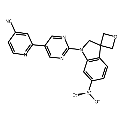 CC[S@+]([O-])c1ccc2c(c1)N(c1ncc(-c3cc(C#N)ccn3)cn1)CC21COC1